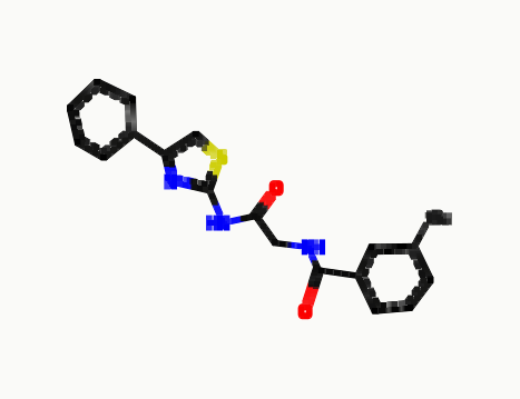 CC(C)(C)c1cccc(C(=O)NCC(=O)Nc2nc(-c3ccccc3)cs2)c1